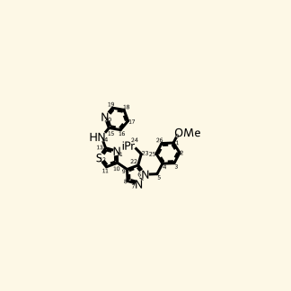 COc1ccc(Cn2ncc(-c3csc(Nc4ccccn4)n3)c2CC(C)C)cc1